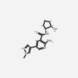 Cn1cc(-c2cnc(N)c(C(=O)N[C@H]3CCC[C@H]3O)c2)cn1